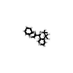 CC1(C)N=C(c2cnc3ccccc3n2)c2cnccc2C1(C)C